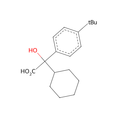 CC(C)(C)c1ccc(C(O)(C(=O)O)C2CCCCC2)cc1